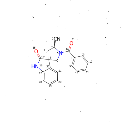 N#C[C@@H]1C[C@@]2(CN1C(=O)c1ccccc1)C(=O)Nc1ccccc12